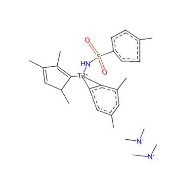 CC1=CC(C)[C]([Ti+2]2([NH]S(=O)(=O)c3ccc(C)cc3)[c]3cc(C)cc(C)[c]32)=C1C.C[N-]C.C[N-]C